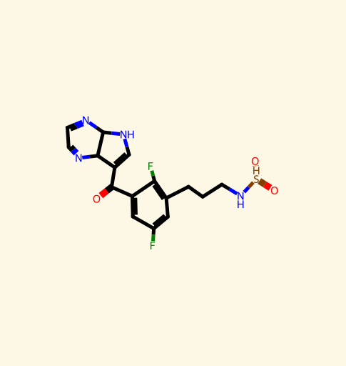 O=C(C1=CNC2N=CC=NC12)c1cc(F)cc(CCCN[SH](=O)=O)c1F